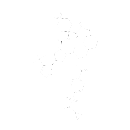 CCN(C1CC1)S(=O)(=O)c1ccc(C(=O)NC(CC2CCCCC2)C(=O)N2C[C@@H](n3nncc3C(C)(C)O)C[C@H]2C(=O)NC2(C(=O)C(N)=O)CCS(=O)(=O)CC2)cc1